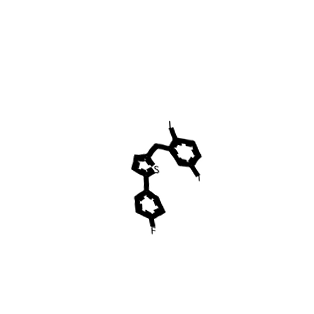 Fc1ccc(-c2ccc(Cc3cc(I)ccc3I)s2)cc1